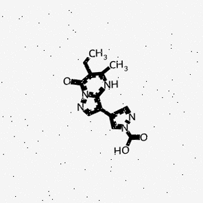 CCc1c(C)[nH]c2c(-c3cnn(C(=O)O)c3)cnn2c1=O